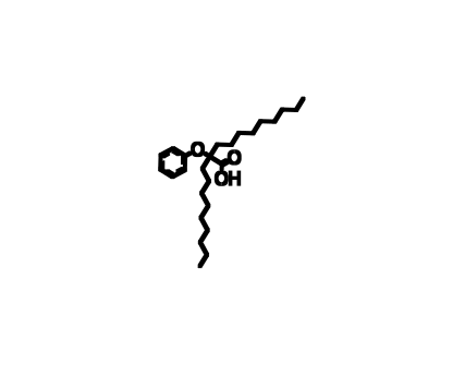 CCCCCCCCCC(CCCCCCCCC)(Oc1ccccc1)C(=O)O